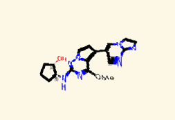 COc1nc(N[C@@H]2CCC[C@@H]2O)nn2ccc(-c3cnc4nccn4c3)c12